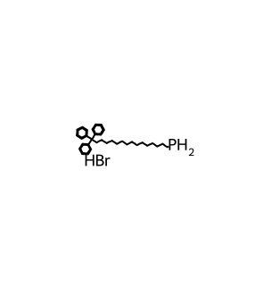 Br.PCCCCCCCCCCCCCCCC(c1ccccc1)(c1ccccc1)c1ccccc1